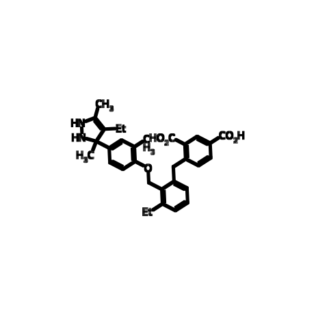 CCC1=C(C)NNC1(C)c1ccc(OCc2c(CC)cccc2Cc2ccc(C(=O)O)cc2C(=O)O)c(C)c1